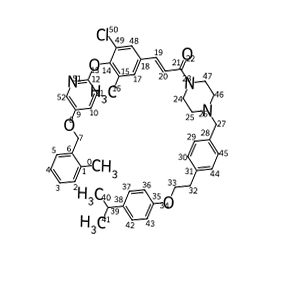 Cc1ccccc1COc1ccc(Oc2c(C)cc(C=CC(=O)N3CCN(Cc4ccc(CCOc5ccc(C(C)C)cc5)cc4)CC3)cc2Cl)nc1